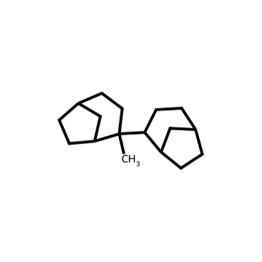 CC1(C2CCC3CCC2C3)CCC2CCC1C2